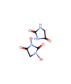 O=C1CN(Br)C(=O)N1Br.O=C1CNC(=O)N1